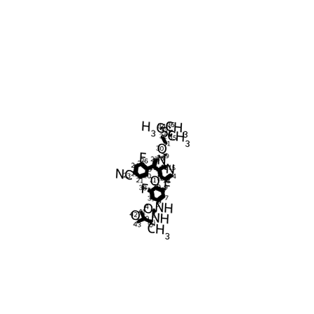 C[C@@H](NC(=O)Nc1cc(F)c(Oc2ccnc3c2c(-c2ccc(C#N)cc2F)cn3COCC[Si](C)(C)C)c(F)c1)C1COC1